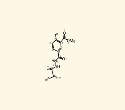 COC(=O)c1cc(C(=O)NNC(=O)C(F)F)ccc1C